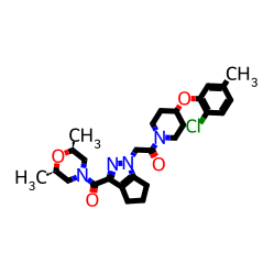 Cc1ccc(Cl)c(OC2CCN(C(=O)Cn3nc(C(=O)N4C[C@@H](C)O[C@@H](C)C4)c4c3CCC4)CC2)c1